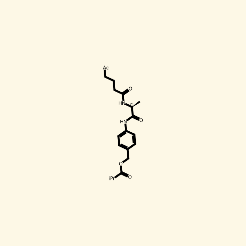 CC(=O)CCCC(=O)N[C@@H](C)C(=O)Nc1ccc(COC(=O)C(C)C)cc1